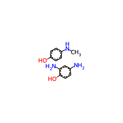 CNc1ccc(O)cc1.Nc1ccc(O)c(N)c1